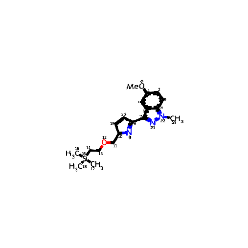 COc1ccc2c(c1)c(C1=NC(COCC[Si](C)(C)C)C=C1)nn2C